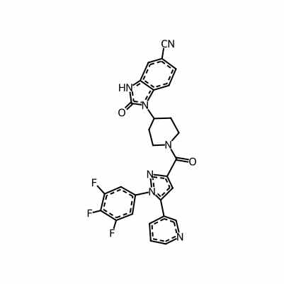 N#Cc1ccc2c(c1)[nH]c(=O)n2C1CCN(C(=O)c2cc(-c3cccnc3)n(-c3cc(F)c(F)c(F)c3)n2)CC1